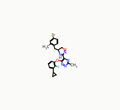 Cc1nnc(Oc2cccc(C3CC3)c2F)c(C2=NOCC(Cc3ccc(Br)cc3C)N2)n1